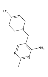 CCC1=CCN(Cc2cnc(C)nc2N)CC1